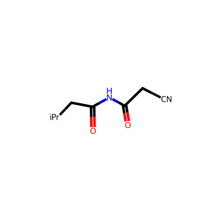 CC(C)CC(=O)NC(=O)CC#N